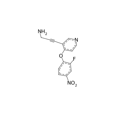 NCC#Cc1cnccc1Oc1ccc([N+](=O)[O-])cc1F